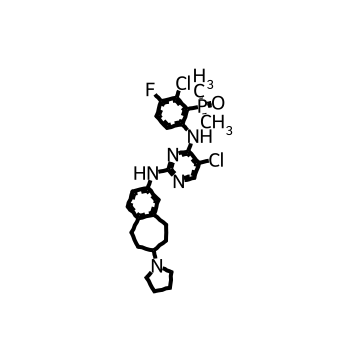 CP(C)(=O)c1c(Nc2nc(Nc3ccc4c(c3)CCC(N3CCCC3)CC4)ncc2Cl)ccc(F)c1Cl